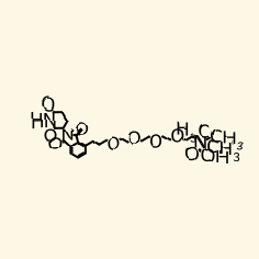 CC(C)(C)N(CCOCCOCCOCCOCCCc1cccc2c1C(=O)N(C1CCC(=O)NC1=O)C2=O)C(=O)O